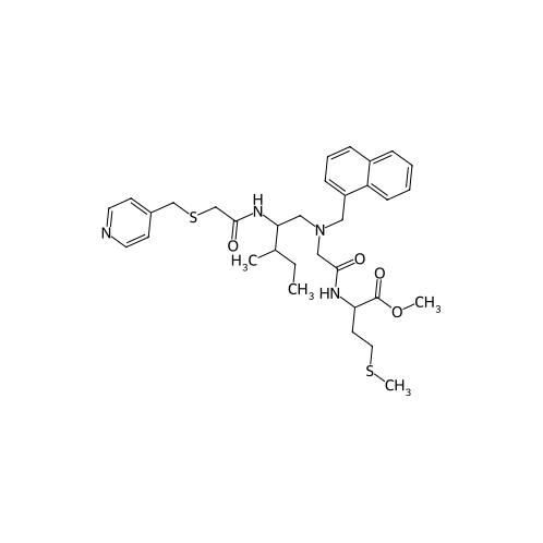 CCC(C)C(CN(CC(=O)NC(CCSC)C(=O)OC)Cc1cccc2ccccc12)NC(=O)CSCc1ccncc1